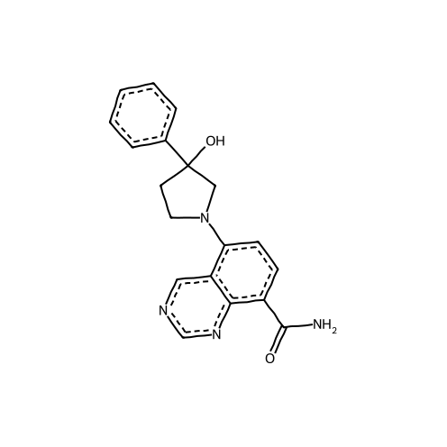 NC(=O)c1ccc(N2CCC(O)(c3ccccc3)C2)c2cncnc12